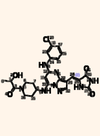 CC(O)C(=O)N1CCC(Nc2cc(Nc3cccc(Cl)c3)nc3c(/C=C4\NC(=O)NC4=O)cnn23)CC1